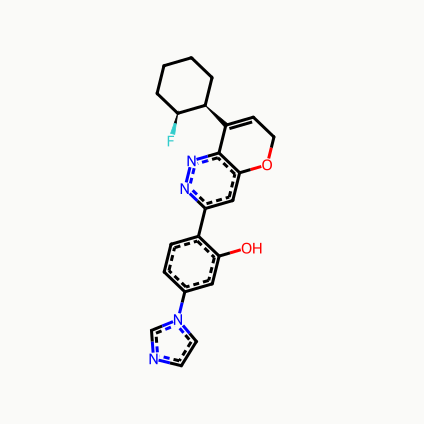 Oc1cc(-n2ccnc2)ccc1-c1cc2c(nn1)C([C@@H]1CCCC[C@@H]1F)=CCO2